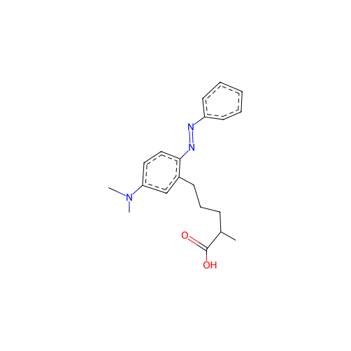 CC(CCCc1cc(N(C)C)ccc1N=Nc1ccccc1)C(=O)O